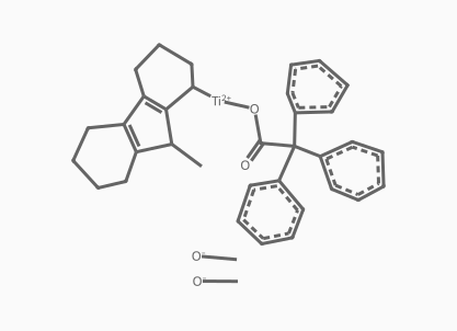 CC1C2=C(CCCC2)C2=C1[CH]([Ti+2][O]C(=O)C(c1ccccc1)(c1ccccc1)c1ccccc1)CCC2.C[O-].C[O-]